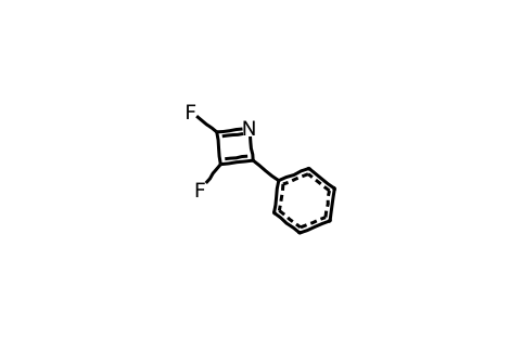 FC1=NC(c2ccccc2)=C1F